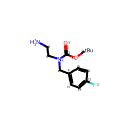 CC(C)(C)OC(=O)N(CCN)Cc1ccc(F)cc1